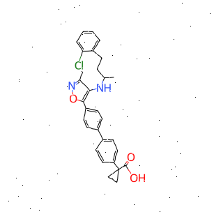 Cc1noc(-c2ccc(-c3ccc(C4(C(=O)O)CC4)cc3)cc2)c1NC(C)CCc1ccccc1Cl